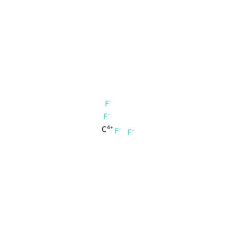 [C+4].[F-].[F-].[F-].[F-]